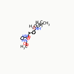 COC(=O)CNC(=O)C(NC(=O)C1CC1c1cccc(C(=O)N[C@H](CCCC(C)C)C(C)C)c1)C1CCCCC1